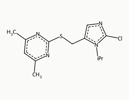 Cc1cc(C)nc(SCc2cnc(Cl)n2C(C)C)n1